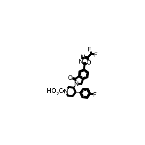 O=C(O)N1CC[C@@H](c2ccc(F)cc2)[C@H](N2Cc3ccc(-c4nnc(C(F)F)o4)cc3C2=O)C1